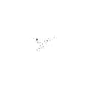 COCCS(=O)(=O)NC(=O)c1cc(-c2ccc(N3CCC(C#N)CC3)nc2)c2c(C3CC(C)C3)nn(-c3ccccc3)c2n1